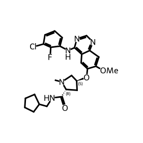 COc1cc2ncnc(Nc3cccc(Cl)c3F)c2cc1O[C@H]1C[C@H](C(=O)NCC2CCCC2)N(C)C1